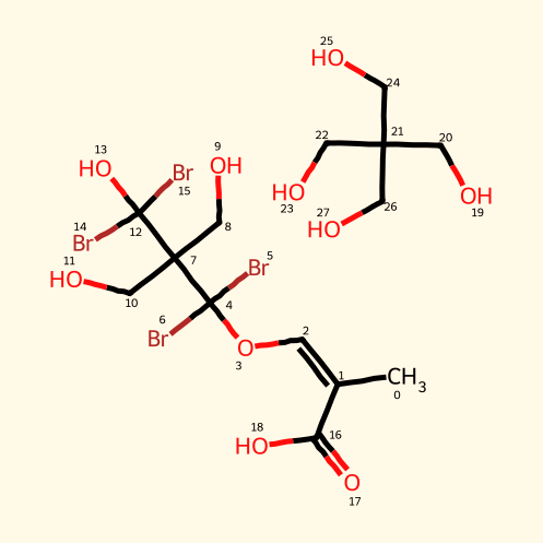 CC(=COC(Br)(Br)C(CO)(CO)C(O)(Br)Br)C(=O)O.OCC(CO)(CO)CO